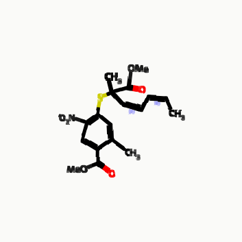 C/C=C\C=C/C(C)(Sc1cc(C)c(C(=O)OC)cc1[N+](=O)[O-])C(=O)OC